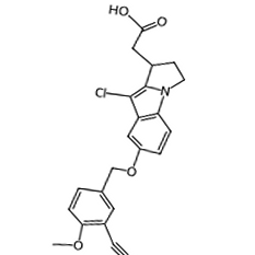 COc1ccc(COc2ccc3c(c2)c(Cl)c2n3CCC2CC(=O)O)cc1C#N